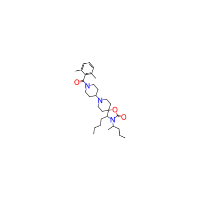 CCCCC1N(C(C)CCC)C(=O)OC12CCN(C1CCN(C(=O)c3c(C)cccc3C)CC1)CC2